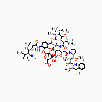 CC[C@H](C)[C@@H]([C@@H](CC(=O)N1CCC[C@H]1[C@H](OC)[C@@H](C)C(=O)N[C@H](C)[C@@H](O)c1ccccc1)OC)N(C)C(=O)[C@@H](NC(=O)[C@H](C(C)C)N(C)C(=O)OCc1ccc(NC(=O)[C@H](C)NC(=O)[C@@H](N)C(C)C)c(O[C@@H]2O[C@H](C(=O)O)[C@@H](O)[C@H](O)[C@H]2O)c1)C(C)C